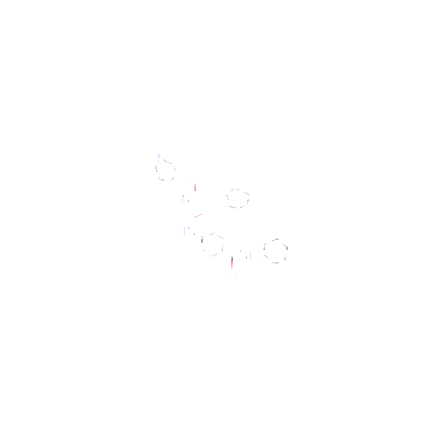 O=C(NCc1ccccc1)c1ccc(NC(=O)[C@@H]2CSC(c3ccncc3)N2C(=O)OCc2ccccc2)cc1